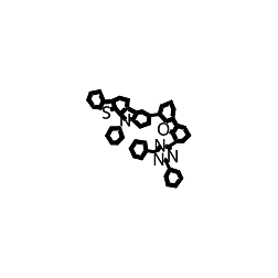 c1ccc(-c2nc(-c3ccccc3)nc(-c3cccc4c3oc3c(-c5ccc6c(c5)c5ccc7c8ccccc8sc7c5n6-c5ccccc5)cccc34)n2)cc1